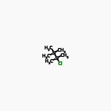 C[Si](C)(C)[Si](C)(C)Cl